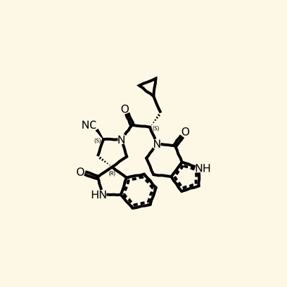 N#C[C@@H]1C[C@@]2(CN1C(=O)[C@H](CC1CC1)N1CCc3cc[nH]c3C1=O)C(=O)Nc1ccccc12